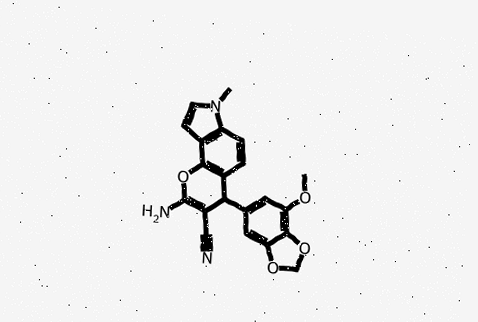 COc1cc(C2C(C#N)=C(N)Oc3c2ccc2c3ccn2C)cc2c1OCO2